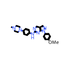 COc1ccc(-n2ncc3cnc(Nc4ccc(N5CCN(C)CC5)cc4)nc32)cc1